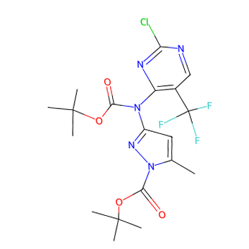 Cc1cc(N(C(=O)OC(C)(C)C)c2nc(Cl)ncc2C(F)(F)F)nn1C(=O)OC(C)(C)C